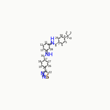 CC(C)(C)c1ccc(CNc2cccc(NCc3ccc(-c4csnn4)cc3)c2)cc1